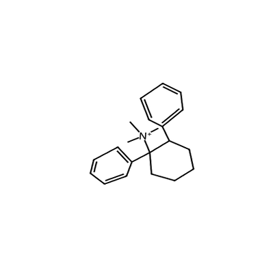 C[N+](C)(C)C1(c2ccccc2)CCCCC1c1ccccc1